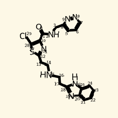 O=C(NCc1cccnn1)c1nc(CCNCCc2nc3ccccc3[nH]2)sc1Cl